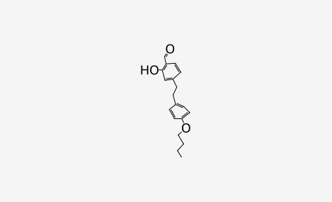 CCCCOc1ccc(CCc2ccc(C=O)c(O)c2)cc1